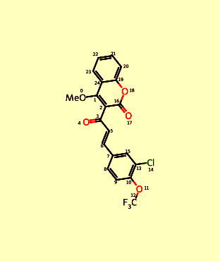 COc1c(C(=O)C=Cc2ccc(OC(F)(F)F)c(Cl)c2)c(=O)oc2ccccc12